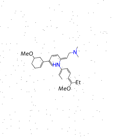 C=C(/C=C\C(=C/CN(C)C)NC(/C=C\C=C(/CC)OC)=C/C)C1=CCCC(OC)C1